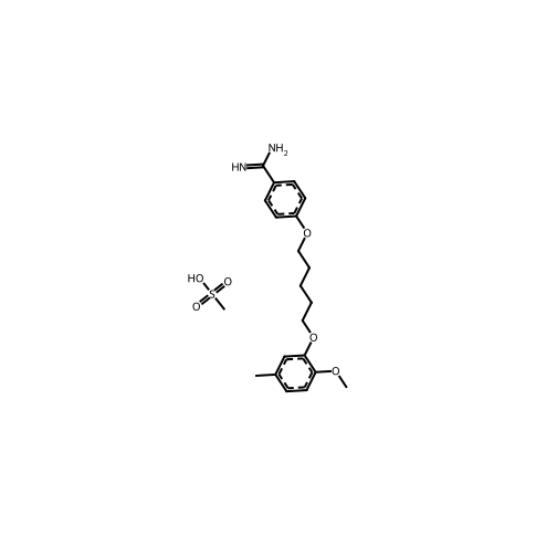 COc1ccc(C)cc1OCCCCCOc1ccc(C(=N)N)cc1.CS(=O)(=O)O